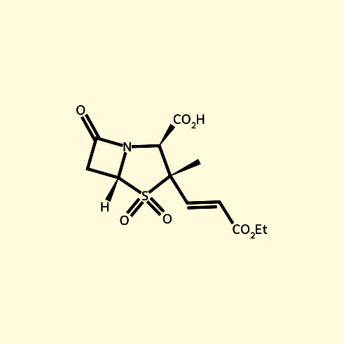 CCOC(=O)C=C[C@@]1(C)[C@H](C(=O)O)N2C(=O)C[C@H]2S1(=O)=O